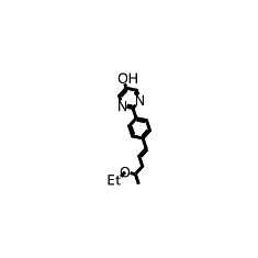 CCOC(C)CC=Cc1ccc(-c2ncc(O)cn2)cc1